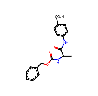 CC(NC(=O)OCc1ccccc1)C(=O)Nc1ccc(C(=O)O)cc1